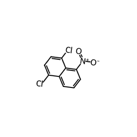 O=[N+]([O-])c1cccc2c(Cl)ccc(Cl)c12